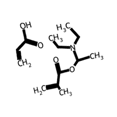 C=C(C)C(=O)OC(C)N(CC)CC.C=CC(=O)O